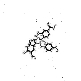 COC(=O)c1ccc(S(=O)(=O)N(Cc2ccc(OC)cc2)c2noc3cc(Br)c(OC)cc23)c(OC)c1